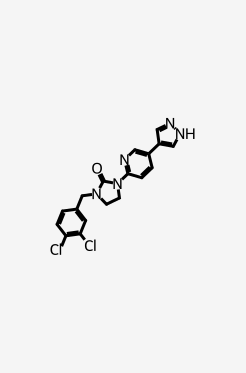 O=C1N(Cc2ccc(Cl)c(Cl)c2)CCN1c1ccc(-c2cn[nH]c2)cn1